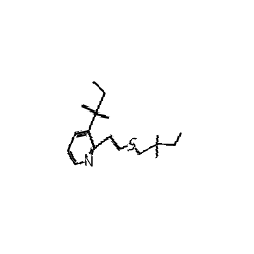 CCC(C)(C)CSCCc1ncccc1C(C)(C)CC